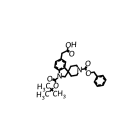 CC(C)(C)OC(=O)N1CC2(CCN(C(=O)OCc3ccccc3)CC2)c2cc(CC(=O)O)ccc21